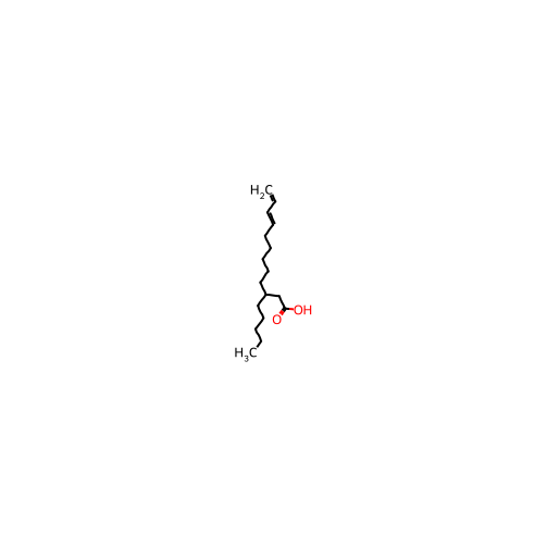 C=CC=CCCCCCC(CCCCC)CC(=O)O